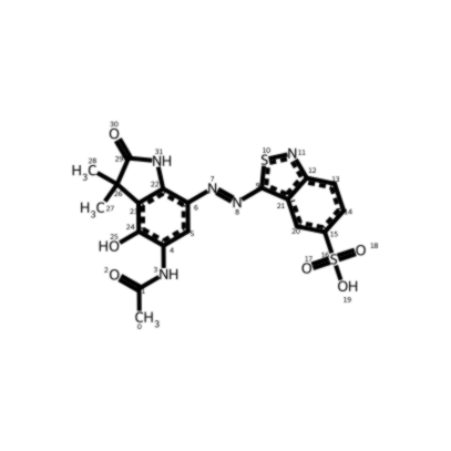 CC(=O)Nc1cc(/N=N/c2snc3ccc(S(=O)(=O)O)cc23)c2c(c1O)C(C)(C)C(=O)N2